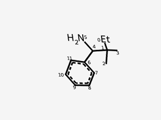 CCC(C)(C)C(N)c1ccccc1